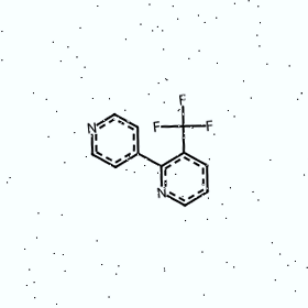 FC(F)(F)c1cccnc1-c1ccncc1